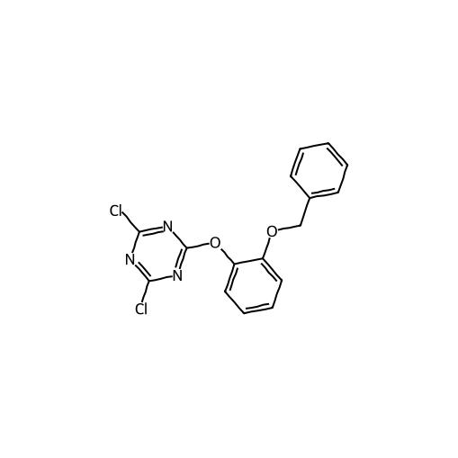 Clc1nc(Cl)nc(Oc2ccccc2OCc2ccccc2)n1